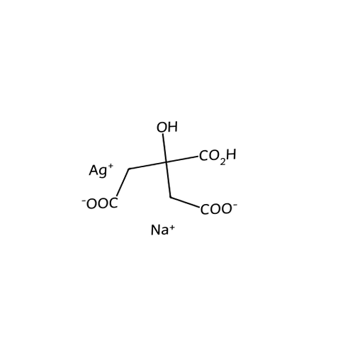 O=C([O-])CC(O)(CC(=O)[O-])C(=O)O.[Ag+].[Na+]